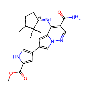 COC(=O)c1cc(-c2cc3c(N[C@@H]4CCC(C)C4(C)C)c(C(N)=O)cnn3c2)c[nH]1